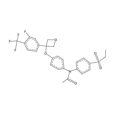 CCS(=O)(=O)c1ccc(N(C(C)=O)c2ccc(OC3(c4ccc(C(F)(F)F)c(F)c4)COC3)cc2)cc1